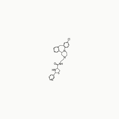 O=C(NCCN1CCN2c3ccc(Cl)cc3Cc3ccccc3C2C1)C1CSC(c2cccnc2)N1